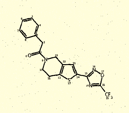 O=C(Cc1ccccc1)N1CCc2sc(-c3noc(C(F)(F)F)n3)cc2C1